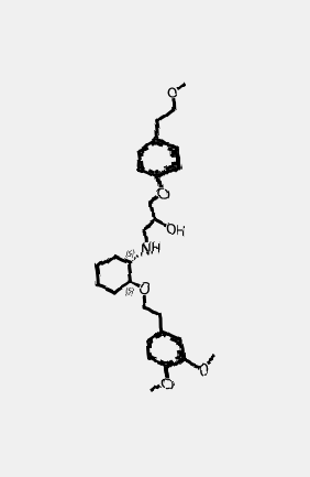 COCCc1ccc(OCC(O)CN[C@H]2CCCC[C@@H]2OCCc2ccc(OC)c(OC)c2)cc1